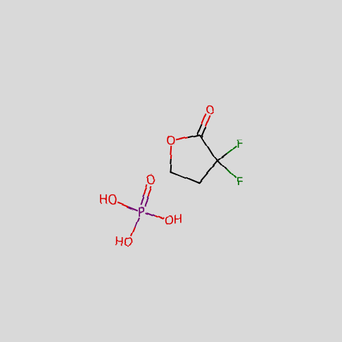 O=C1OCCC1(F)F.O=P(O)(O)O